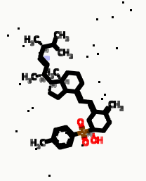 C=C1CC[C@@](O)(S(=O)(=O)c2ccc(C)cc2)CC1=CC=C1CCC[C@@]2(C)C1CC[C@@H]2[C@H](C)/C=C/[C@H](C)C(C)C